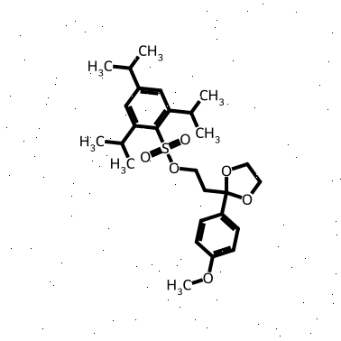 COc1ccc(C2(CCOS(=O)(=O)c3c(C(C)C)cc(C(C)C)cc3C(C)C)OCCO2)cc1